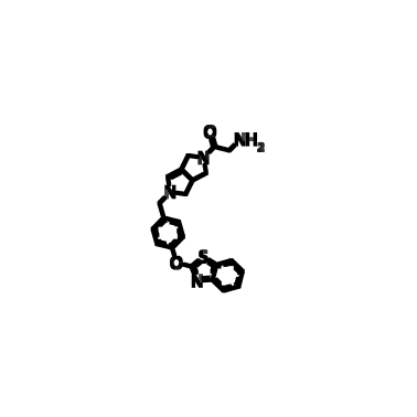 NCC(=O)N1CC2=CN(Cc3ccc(Oc4nc5ccccc5s4)cc3)CC2C1